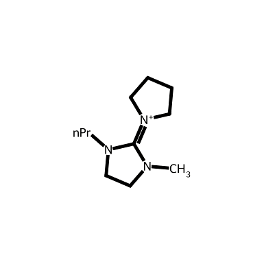 CCCN1CCN(C)C1=[N+]1CCCC1